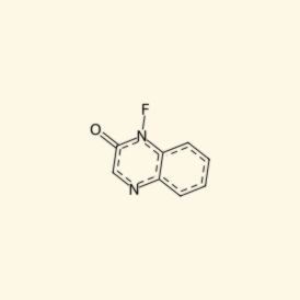 O=c1cnc2ccccc2n1F